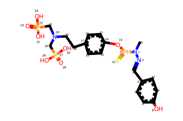 CN(/N=C/c1ccc(O)cc1)[PH](=S)Oc1ccc(CCN(CP(=O)(O)O)CP(=O)(O)O)cc1